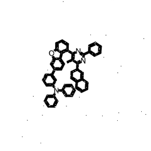 Cc1c(-c2cccc3oc4cc(-c5cccc(N(c6ccccc6)c6ccccc6)c5)ccc4c23)nc(-c2ccccc2)nc1C1C=c2ccccc2=CC1